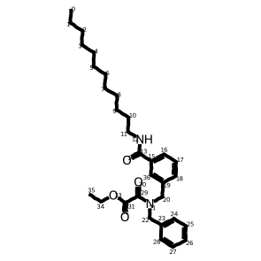 CCCCCCCCCCCCNC(=O)c1cccc(CN(Cc2ccccc2)C(=O)C(=O)OCC)c1